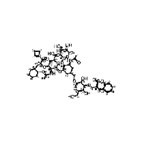 CC(=O)NC1CC(CO[C@H]2OC(CO)[C@@H](O)C(OCc3cc4ccccc4oc3=O)C2O)C[C@@H](O[C@@H]2OC(CO)[C@H](O)C(O[C@@H](CC3CCCCC3)C(=O)N3CCC3)C2NC(C)=O)C1O[C@@H]1OC(C)[C@@H](O)C(O)C1O